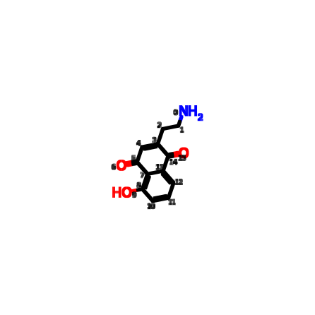 NCCC1=CC(=O)c2c(O)cccc2C1=O